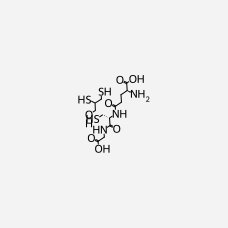 N[C@@H](CCC(=O)N[C@@H](CS)C(=O)NCC(=O)O)C(=O)O.OCC(S)CS